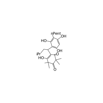 CCCCCc1c(O)cc(O)c(C(CC(C)C)C2=C(O)C(C)(C)C(=O)C(C)(C)C2=O)c1O